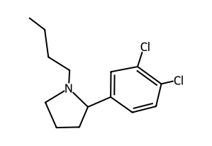 CCCCN1CCCC1c1ccc(Cl)c(Cl)c1